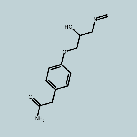 C=NCC(O)COc1ccc(CC(N)=O)cc1